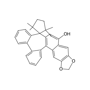 CC1(C)CCC(C)(C)C12c1ccccc1-c1ccccc1-c1c2cc(O)c2cc3c(cc12)OCO3